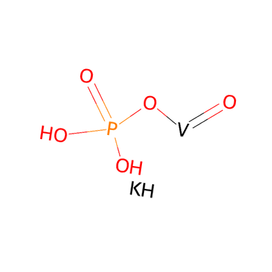 [KH].[O]=[V][O]P(=O)(O)O